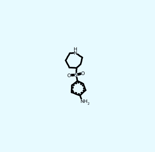 Nc1ccc(S(=O)(=O)C2CCCNCC2)cc1